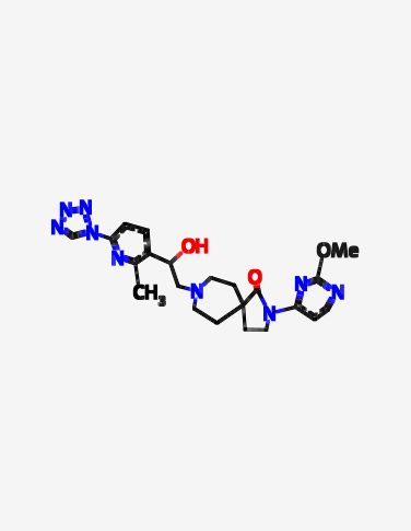 COc1nccc(N2CCC3(CCN(CC(O)c4ccc(-n5cnnn5)nc4C)CC3)C2=O)n1